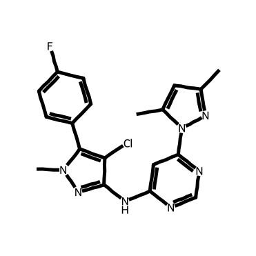 Cc1cc(C)n(-c2cc(Nc3nn(C)c(-c4ccc(F)cc4)c3Cl)ncn2)n1